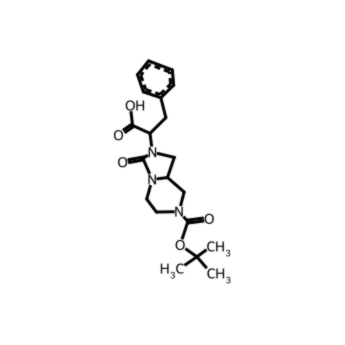 CC(C)(C)OC(=O)N1CCN2C(=O)N(C(Cc3ccccc3)C(=O)O)CC2C1